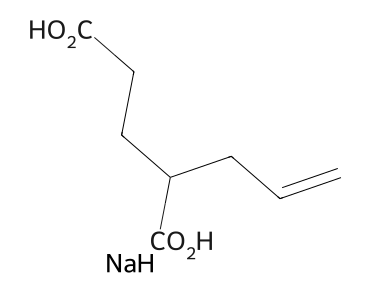 C=CCC(CCC(=O)O)C(=O)O.[NaH]